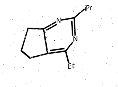 CCc1nc(C(C)C)nc2c1CCC2